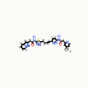 O=C(Cc1cc(C(F)(F)F)ccn1)Nc1ccc(C#CCCc2nnc(NC(=O)Cc3cc4ccccn4n3)s2)nn1